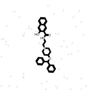 O=C(NCCN1CCC(OC(c2ccccc2)c2ccccc2)CC1)c1cc2ccccc2cc1O